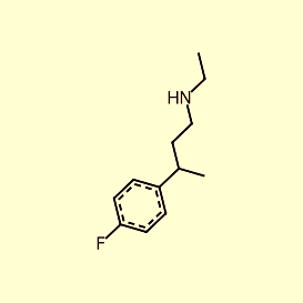 CCNCCC(C)c1ccc(F)cc1